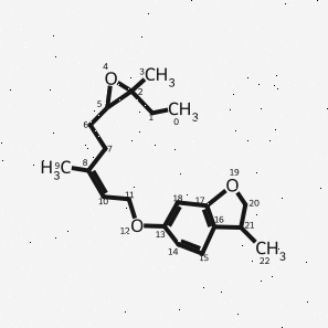 CCC1(C)OC1CCC(C)=CCOc1ccc2c(c1)OCC2C